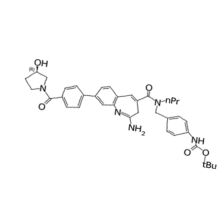 CCCN(Cc1ccc(NC(=O)OC(C)(C)C)cc1)C(=O)C1=Cc2ccc(-c3ccc(C(=O)N4CC[C@@H](O)C4)cc3)cc2N=C(N)C1